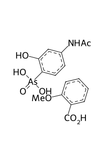 CC(=O)Nc1ccc([As](=O)(O)O)c(O)c1.COc1ccccc1C(=O)O